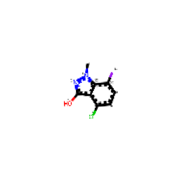 Cn1nc(O)c2c(Cl)ccc(I)c21